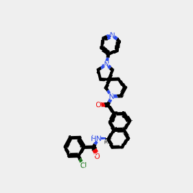 O=C(N[C@@H]1CCCc2ccc(C(=O)N3CCCC4(CCN(c5ccncc5)C4)C3)cc21)c1ccccc1Cl